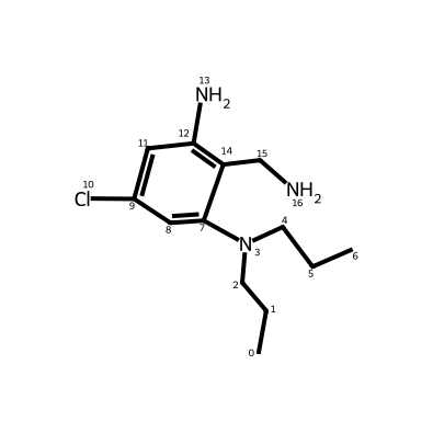 CCCN(CCC)c1cc(Cl)cc(N)c1CN